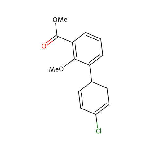 COC(=O)c1cccc(C2C=CC(Cl)=CC2)c1OC